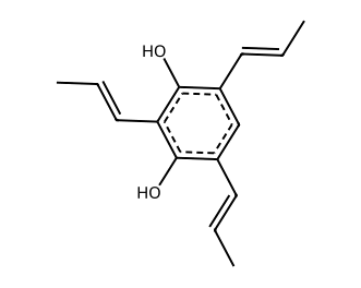 C/C=C/c1cc(/C=C/C)c(O)c(/C=C/C)c1O